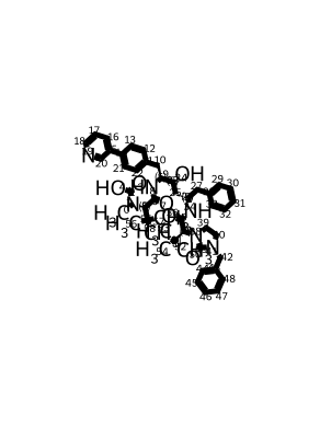 CN(C(=O)O)[C@H](C(=O)N[C@@H](Cc1ccc(-c2cccnc2)cc1)[C@@H](O)C[C@H](Cc1ccccc1)NC(=O)[C@@H](N1CCN(Cc2ccccc2)C1=O)C(C)(C)C)C(C)(C)C